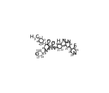 Cc1ccc(-c2cn(CC3CCOCC3)cc(C(=O)Nc3ccc(-c4cc(-c5ccncc5F)cnc4N)cc3)c2=O)cc1